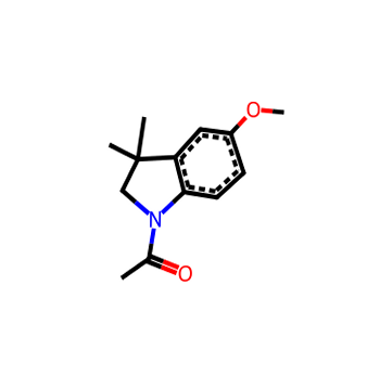 COc1ccc2c(c1)C(C)(C)CN2C(C)=O